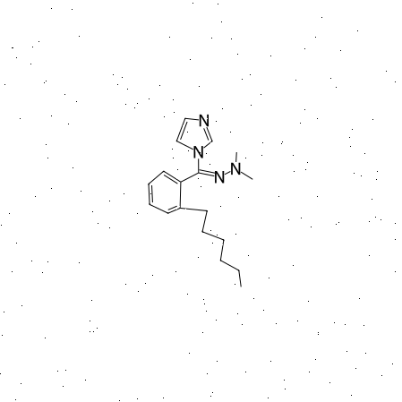 CCCCCCc1ccccc1C(=NN(C)C)n1ccnc1